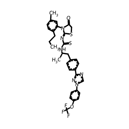 CCCc1ccc(C)cc1N1C(=O)CS/C1=N\C(=S)NC(C)Cc1ccc(-c2ncn(-c3ccc(OC(F)(F)F)cc3)n2)cc1